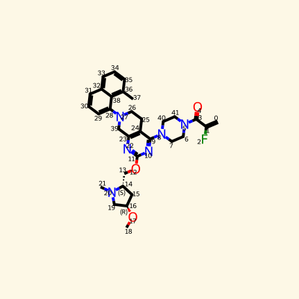 C=C(F)C(=O)N1CCN(c2nc(OC[C@@H]3C[C@@H](OC)CN3C)nc3c2CCN(c2cccc4cccc(C)c24)C3)CC1